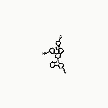 N#Cc1ccc(-n2c3ccccc3c3cc(C#N)ccc32)c(-c2cc(-n3c4ccccc4c4cc(C#N)ccc43)ccc2C#N)c1